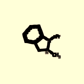 CCCN1c2ccccc2C[C@@H]1C